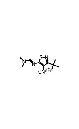 CCCC(C)(C)c1nsc(N=CN(C)C)c1C#N